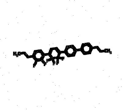 CCCc1ccc(-c2ccc(C3=CC=C(c4ccc(CCC)c(F)c4F)C(F)(F)C3(F)F)cc2)cc1